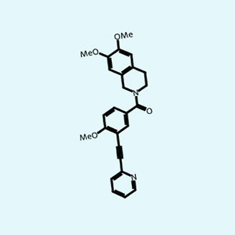 COc1ccc(C(=O)N2CCc3cc(OC)c(OC)cc3C2)cc1C#Cc1ccccn1